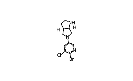 Clc1cc(N2C[C@H]3CCN[C@H]3C2)cnc1Br